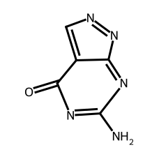 NC1=NC(=O)C2=CN=NC2=N1